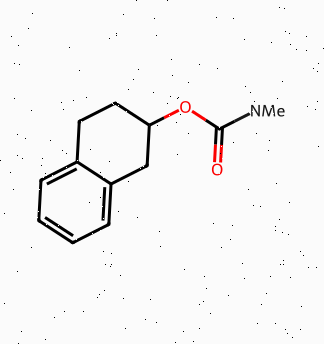 CNC(=O)OC1CCc2ccccc2C1